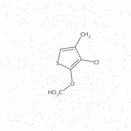 Cc1csc(OC(=O)O)c1Cl